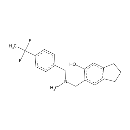 CN(Cc1ccc(C(C)(F)F)cc1)Cc1cc2c(cc1O)CCC2